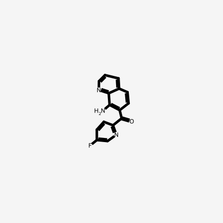 Nc1c(C(=O)c2ccc(F)cn2)ccc2cccnc12